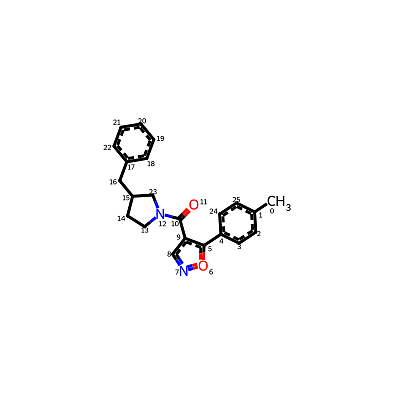 Cc1ccc(-c2oncc2C(=O)N2CCC(Cc3ccccc3)C2)cc1